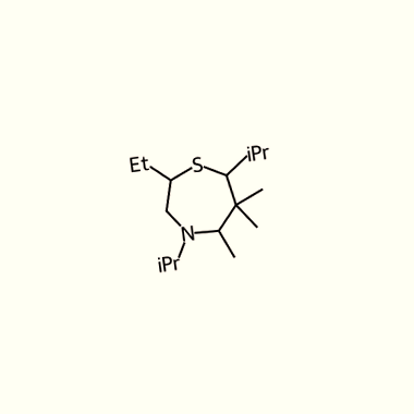 CCC1CN(C(C)C)C(C)C(C)(C)C(C(C)C)S1